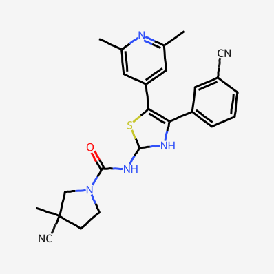 Cc1cc(C2=C(c3cccc(C#N)c3)NC(NC(=O)N3CCC(C)(C#N)C3)S2)cc(C)n1